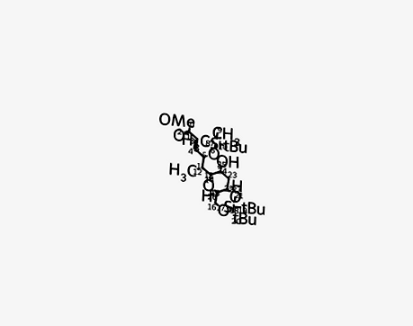 COC(=O)/C=C/[C@H](O[Si](C)(C)C(C)(C)C)[C@@H](C)[C@@H]1O[C@@H]2CO[Si](C(C)(C)C)(C(C)(C)C)O[C@@H]2C[C@@H]1O